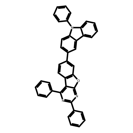 c1ccc(-c2nc(-c3ccccc3)c3c(n2)oc2cc(-c4ccc5c(c4)c4ccccc4n5-c4ccccc4)ccc23)cc1